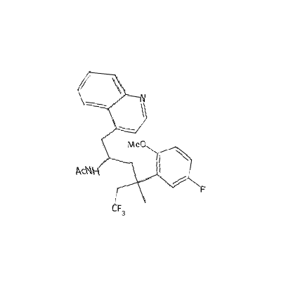 COc1ccc(F)cc1C(C)(CC(Cc1ccnc2ccccc12)NC(C)=O)CC(F)(F)F